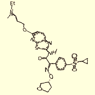 CCN(C)CCCOc1ccc2nc(NC(=O)/C(=N/O[C@@H]3CCOC3)c3ccc(S(=O)(=O)C4CC4)cc3)sc2n1